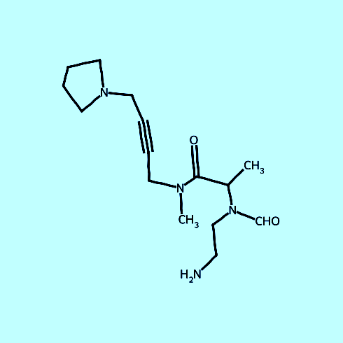 CC(C(=O)N(C)CC#CCN1CCCC1)N(C=O)CCN